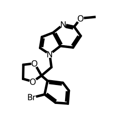 COc1ccc2c(ccn2CC2(c3ccccc3Br)OCCO2)n1